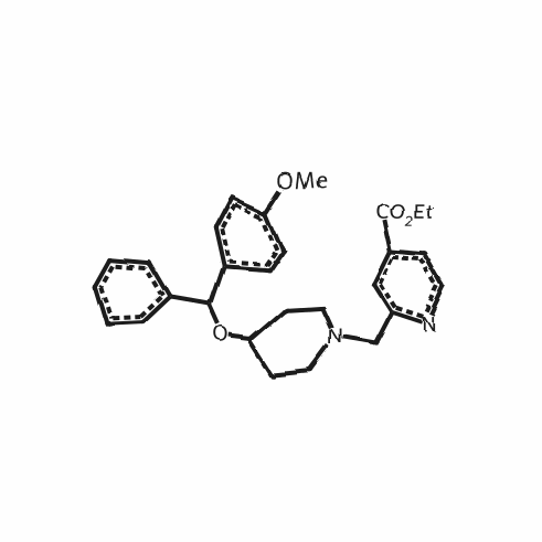 CCOC(=O)c1ccnc(CN2CCC(OC(c3ccccc3)c3ccc(OC)cc3)CC2)c1